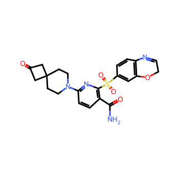 NC(=O)c1ccc(N2CCC3(CC2)CC(=O)C3)nc1S(=O)(=O)c1ccc2c(c1)OCC=N2